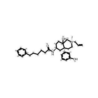 C=CC[N@@+]1(C)CC[C@@]2(c3cccc(O)c3)C[C@@H](NC(=O)CCCCCc3ccccc3)CCC2(O)C1